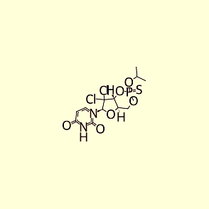 CC(C)OP1(=S)OC[C@H]2O[C@@H](n3ccc(=O)[nH]c3=O)C(Cl)(Cl)[C@@H]2O1